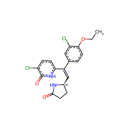 CCOc1ccc(/C(=C/[C@H]2CCC(=O)N2)c2ccc(Cl)c(=O)[nH]2)cc1Cl